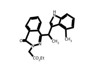 CCOC(=O)Cn1nc(C(C)c2c[nH]c3cccc(C)c23)c2ccccc2c1=O